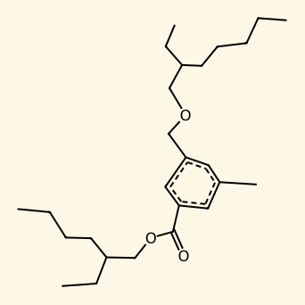 CCCCCC(CC)COCc1cc(C)cc(C(=O)OCC(CC)CCCC)c1